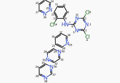 Clc1nc(Cl)nc(Nc2ccccc2Cl)n1.c1ccncc1.c1ccnnc1.c1cnccn1.c1cncnc1